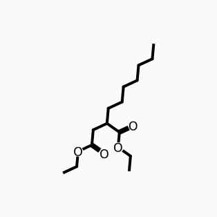 CCCCCCCC(CC(=O)OCC)C(=O)OCC